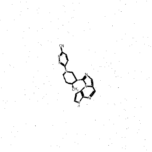 C[C@H]1CCN(c2ccc(C#N)nn2)C[C@H]1c1ncc2cnc3[nH]ccc3n12